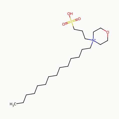 CCCCCCCCCCCCCC[N+]1(CCCS(=O)(=O)O)CCOCC1